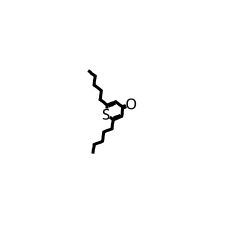 CCCCCc1cc(=O)cc(CCCCC)s1